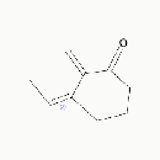 C=C1C(=O)CCC/C1=C/C